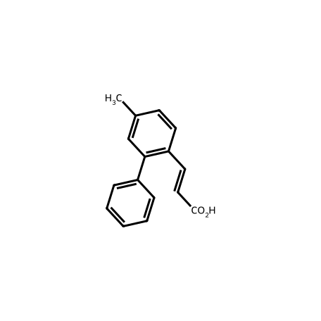 Cc1ccc(C=CC(=O)O)c(-c2ccccc2)c1